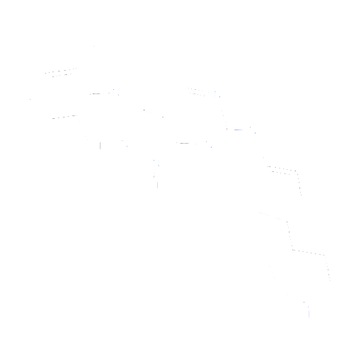 Cc1cccc(C)c1Nc1nn(C)c2nc(Nc3ccc(C4=CCNCC4)cc3)ncc12